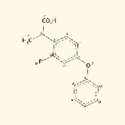 CC(C(=O)O)c1ccc(Oc2ccccc2)cc1F